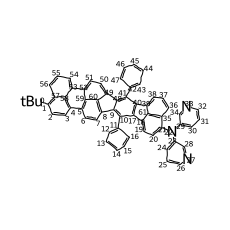 CC(C)(C)c1ccc2c3ccc4c5c(-c6ccccc6)c6c7ccc(N(c8cccnc8)c8cccnc8)c8cccc(c6c(-c6ccccc6)c5c5ccc(c6cccc1c62)c3c54)c87